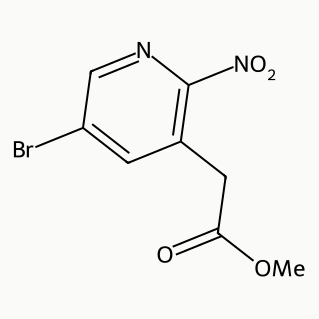 COC(=O)Cc1cc(Br)cnc1[N+](=O)[O-]